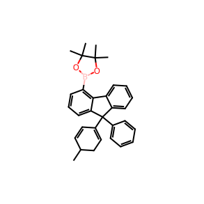 CC1C=CC(C2(c3ccccc3)c3ccccc3-c3c(B4OC(C)(C)C(C)(C)O4)cccc32)=CC1